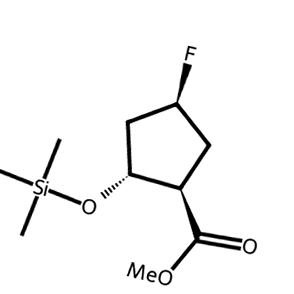 COC(=O)[C@@H]1C[C@H](F)C[C@H]1O[Si](C)(C)C